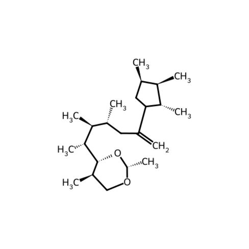 C=C(C[C@@H](C)[C@H](C)[C@@H](C)[C@@H]1O[C@H](C)OC[C@H]1C)C1C[C@@H](C)[C@@H](C)[C@@H]1C